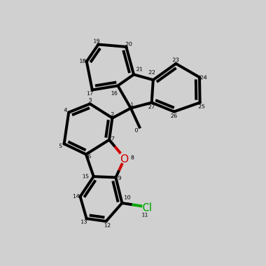 CC1(c2cccc3c2oc2c(Cl)cccc23)c2ccccc2-c2ccccc21